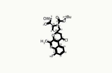 COC(=O)[C@@H]1C[C@@]2(CC(Cl)c3c(c(C)nc4c(F)cccc34)O2)CN1C(=O)OC(C)(C)C